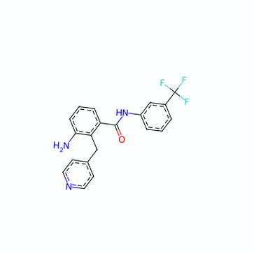 Nc1cccc(C(=O)Nc2cccc(C(F)(F)F)c2)c1Cc1ccncc1